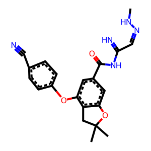 CN/N=C\C(=N)NC(=O)c1cc(Oc2ccc(C#N)cc2)c2c(c1)OC(C)(C)C2